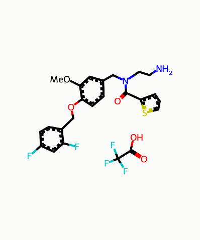 COc1cc(CN(CCN)C(=O)c2cccs2)ccc1OCc1ccc(F)cc1F.O=C(O)C(F)(F)F